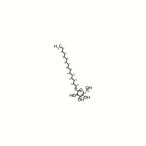 CCCCCCCCCCCCCCCCS[C@@H]1O[C@H](CO)[C@H](O)[C@H](O)[C@H]1O